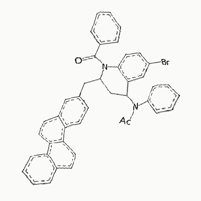 CC(=O)N(c1ccccc1)C1CC(Cc2ccc3c(ccc4c5ccccc5ccc34)c2)N(C(=O)c2ccccc2)c2ccc(Br)cc21